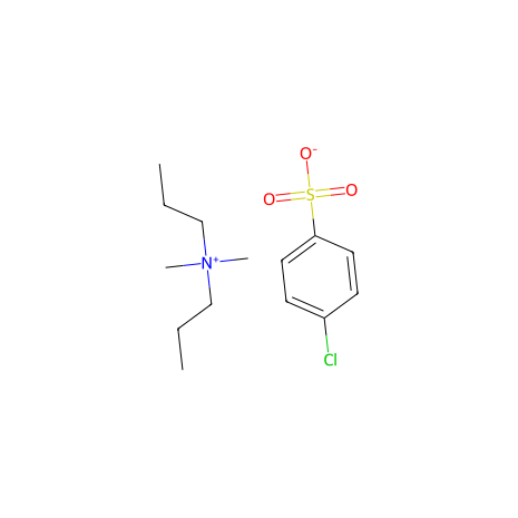 CCC[N+](C)(C)CCC.O=S(=O)([O-])c1ccc(Cl)cc1